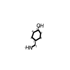 [NH]C[C@H]1CC[C@H](O)CC1